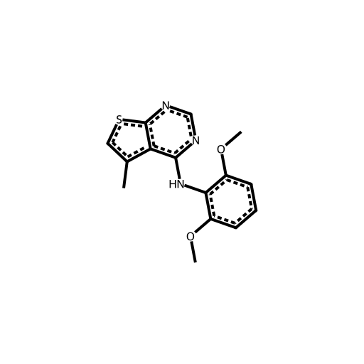 COc1cccc(OC)c1Nc1ncnc2scc(C)c12